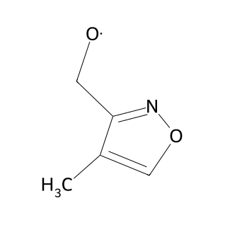 Cc1conc1C[O]